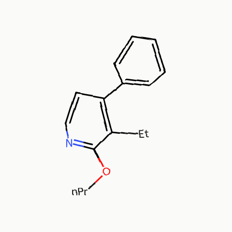 CCCOc1nccc(-c2ccccc2)c1CC